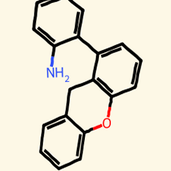 Nc1ccccc1-c1cccc2c1Cc1ccccc1O2